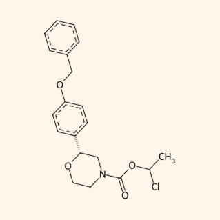 CC(Cl)OC(=O)N1CCO[C@H](c2ccc(OCc3ccccc3)cc2)C1